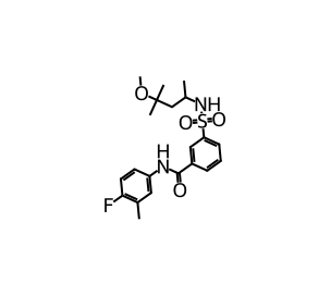 COC(C)(C)CC(C)NS(=O)(=O)c1cccc(C(=O)Nc2ccc(F)c(C)c2)c1